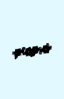 O=C(Oc1ccc2c(ccc3cc(OC(=O)c4ccc(F)c(F)c4)ccc32)c1)c1ccc(F)c(F)c1